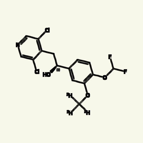 [2H]C([2H])([2H])Oc1cc([C@@H](O)Cc2c(Cl)cncc2Cl)ccc1OC(F)F